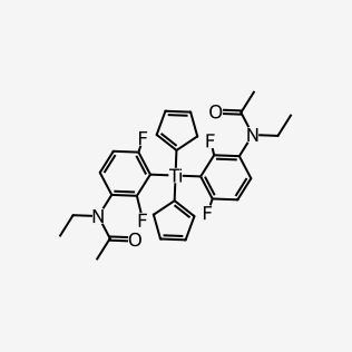 CCN(C(C)=O)c1ccc(F)[c]([Ti]([C]2=CC=CC2)([C]2=CC=CC2)[c]2c(F)ccc(N(CC)C(C)=O)c2F)c1F